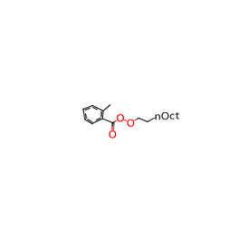 [CH2]CCCCCCCCCOOC(=O)c1ccccc1C